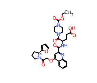 CCOC(=O)N1CCN(C(=O)C(CCC(=O)O)NC(=O)c2cc(OCC(=O)N3CCC[C@H]3c3ccco3)c3ccccc3n2)CC1